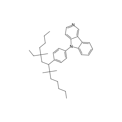 CCCCCC(C)(C)C(CC(C)(CC)CCCC)c1ccc(-n2c3ccccc3c3cnccc32)cc1